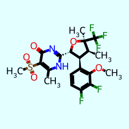 COc1c([C@H]2[C@H](c3nc(=O)c(S(C)(=O)=O)c(C)[nH]3)O[C@@](C)(C(F)(F)F)[C@H]2C)ccc(F)c1F